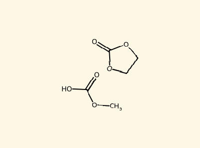 COC(=O)O.O=C1OCCO1